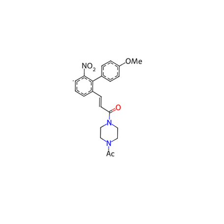 COc1ccc(-c2c([N+](=O)[O-])[c]ccc2/C=C/C(=O)N2CCN(C(C)=O)CC2)cc1